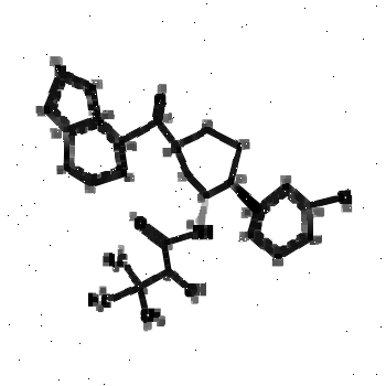 CC(C)(C)C(O)C(=O)N[C@@H]1CN(C(=O)c2cccc3cncn23)CC[C@H]1c1cccc(Cl)c1